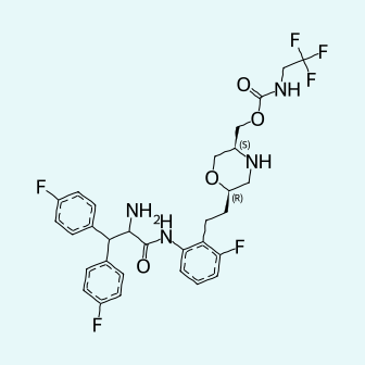 NC(C(=O)Nc1cccc(F)c1CC[C@@H]1CN[C@H](COC(=O)NCC(F)(F)F)CO1)C(c1ccc(F)cc1)c1ccc(F)cc1